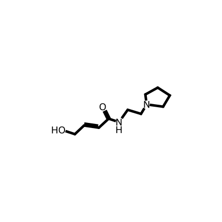 O=C(C=CCO)NCCN1CCCC1